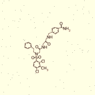 Cc1c(Cl)ccc(S(=O)(=O)N(CCc2ccccc2)CC(=O)NCC(=O)CNCc2ccc(C(N)=O)cc2)c1Cl